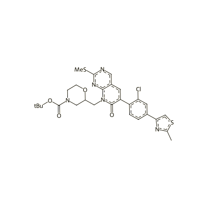 CSc1ncc2cc(-c3ccc(-c4csc(C)n4)cc3Cl)c(=O)n(CC3CN(C(=O)OC(C)(C)C)CCO3)c2n1